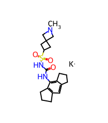 CN1CC2(CC(S(=O)(=O)NC(=O)Nc3c4c(cc5c3CCC5)CCC4)C2)C1.[K]